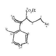 CCOC(=O)C(CCC(C)=O)C(=O)c1ccncc1C